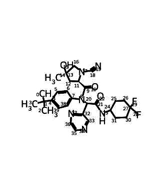 CC(C)(C)c1ccc(N(C(=O)[C@H]2C[C@@](C)(O)CN2C#N)[C@@H](C(=O)NC2CCC(F)(F)CC2)c2cnccn2)cc1